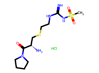 CS(=O)(=O)NC(=N)NCCSC[C@H](N)C(=O)N1CCCC1.Cl